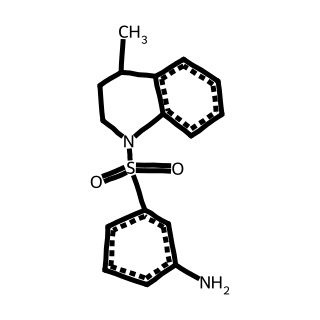 CC1CCN(S(=O)(=O)c2cccc(N)c2)c2ccccc21